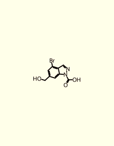 O=C(O)n1ncc2c(Br)cc(CO)cc21